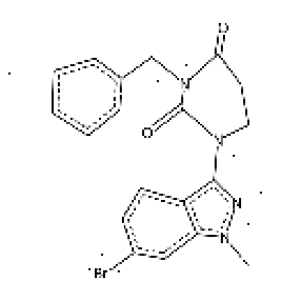 Cn1nc(N2CCC(=O)N(Cc3ccccc3)C2=O)c2ccc(Br)cc21